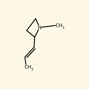 CC=CC1CCN1C